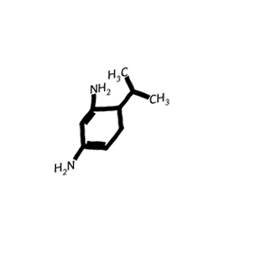 CC(C)C1CC=C(N)C=C1N